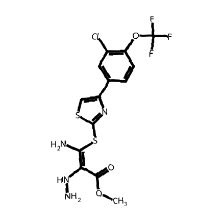 COC(=O)/C(NN)=C(/N)Sc1nc(-c2ccc(OC(F)(F)F)c(Cl)c2)cs1